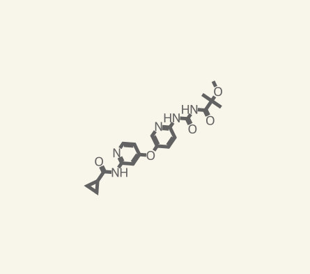 COC(C)(C)C(=O)NC(=O)Nc1ccc(Oc2ccnc(NC(=O)C3CC3)c2)cn1